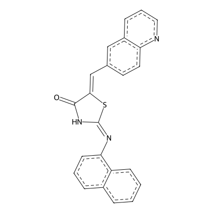 O=C1N/C(=N\c2cccc3ccccc23)S/C1=C\c1ccc2ncccc2c1